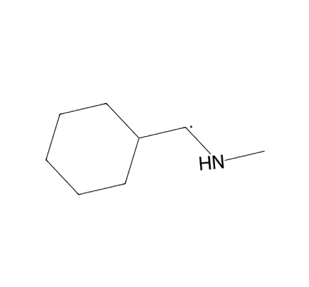 CN[CH]C1CCCCC1